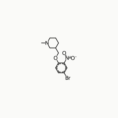 CN1CCCC(COc2ccc(Br)cc2[N+](=O)[O-])C1